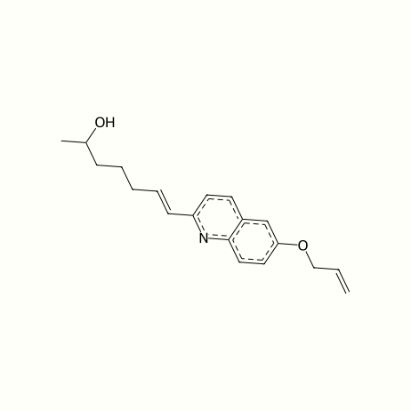 C=CCOc1ccc2nc(C=CCCCC(C)O)ccc2c1